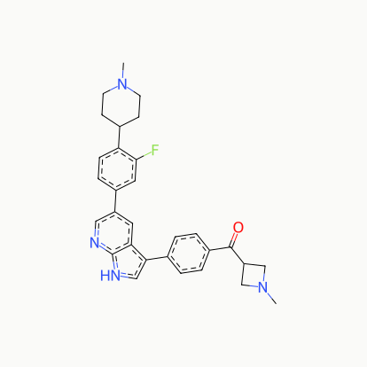 CN1CCC(c2ccc(-c3cnc4[nH]cc(-c5ccc(C(=O)C6CN(C)C6)cc5)c4c3)cc2F)CC1